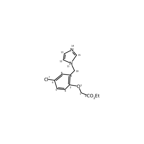 CCOC(=O)COc1ccc(Cl)cc1Cn1ccnc1